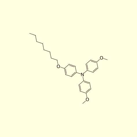 CCCCCCCCOc1ccc(N(c2ccc(OC)cc2)c2ccc(OC)cc2)cc1